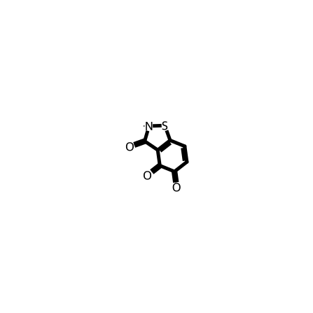 O=C1C=CC2=C(C(=O)[N]S2)C1=O